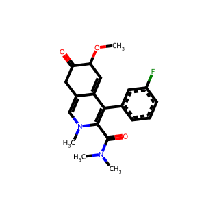 COC1C=C2C(=CN(C)C(C(=O)N(C)C)=C2c2cccc(F)c2)CC1=O